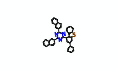 c1ccc(-c2cc(-c3nc(-c4ccc5ccccc5c4)nc(-c4ccc5ccccc5c4)n3)c3c(c2)sc2ccccc23)cc1